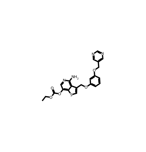 CCOC(=O)Oc1cnc(N)c2c(COc3cccc(OCc4cncnc4)c3)csc12